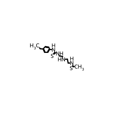 CCc1ccc(NC(=S)NCCNCCNC(C)=S)cc1